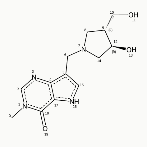 Cn1cnc2c(CN3C[C@H](CO)[C@@H](O)C3)c[nH]c2c1=O